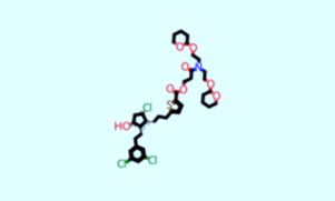 O=C(OCCC(=O)N(CCOC1CCCCO1)CCOC1CCCCO1)c1ccc(CCC[C@@H]2[C@@H](CCc3cc(Cl)cc(Cl)c3)[C@H](O)C[C@@H]2Cl)s1